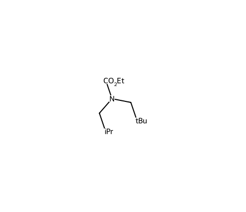 CCOC(=O)N(CC(C)C)CC(C)(C)C